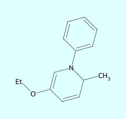 CCOC1=CN(c2ccccc2)C(C)C=C1